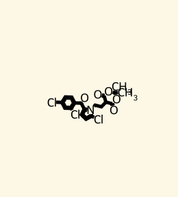 CC1(C)OC(=O)C(CCn2c(Cl)ccc2C(=O)c2ccc(Cl)cc2Cl)C(=O)O1